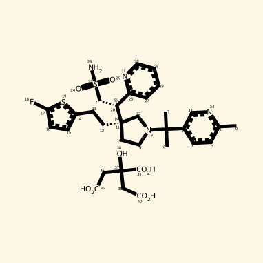 Cc1ccc(C(C)(C)N2CC[C@@](CCc3ccc(F)s3)([C@H](CS(N)(=O)=O)c3ccccn3)C2)cn1.O=C(O)CC(O)(CC(=O)O)C(=O)O